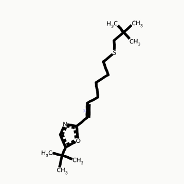 CC(C)(C)CSCCCC/C=C/c1ncc(C(C)(C)C)o1